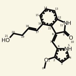 COc1cc[nH]c1/C=C1\C(=O)Nc2cccc(/C=C/CCO)c21